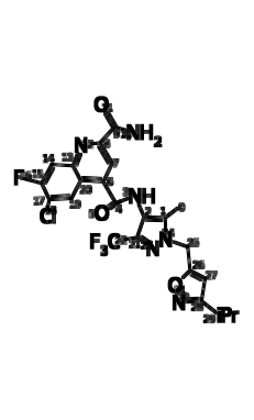 Cc1c(NC(=O)c2cc(C(N)=O)nc3cc(F)c(Cl)cc23)c(C(F)(F)F)nn1Cc1cc(C(C)C)no1